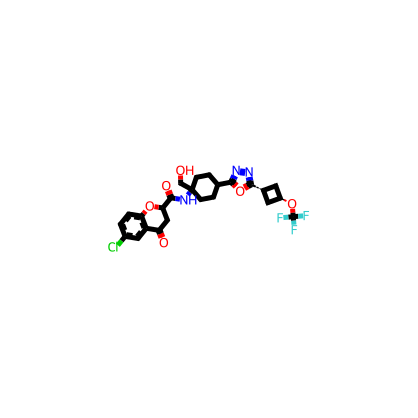 O=C1CC(C(=O)NC2(CO)CCC(c3nnc([C@H]4C[C@@H](OC(F)(F)F)C4)o3)CC2)Oc2ccc(Cl)cc21